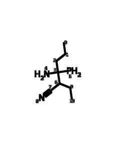 CCCC(N)(P)C(C#N)CC